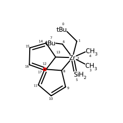 CC(C)(C)[CH2][Zr]([CH3])([CH3])(=[SiH2])([CH2]C(C)(C)C)([CH]1C=CC=C1)[CH]1C=CC=C1